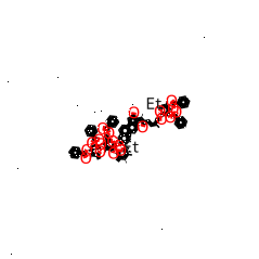 CCC1O[C@@H](OC2[C@H](OC3CCC4(C)C(CCC5C4CCC4(C)C5CC(=O)C4[C@H](C)C(=O)CC[C@H](C)CO[C@@H]4OC(CC)[C@@H](C)[C@H](OC(=O)c5ccccc5)C4OC(=O)c4ccccc4)C3)OC(COC(=O)c3ccccc3)[C@H](O[C@@H]3OC(C)[C@H](C)[C@H](OC(=O)c4ccccc4)C3OC(=O)c3ccccc3)[C@@H]2C)C(C)[C@@H](C)[C@@H]1C